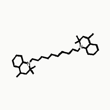 CC1CC(C)(C)N(CCCCCCCCCCN2C3CCCCC3C(C)CC2(C)C)C2CCCCC12